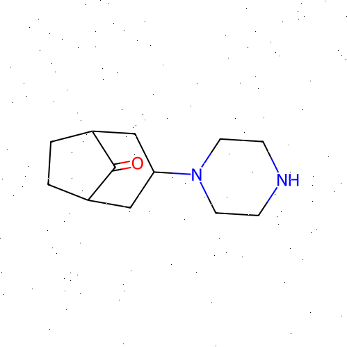 O=C1C2CCC1CC(N1CCNCC1)C2